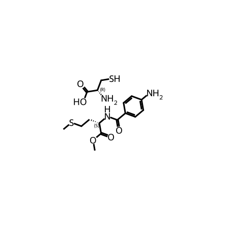 COC(=O)[C@H](CCSC)NC(=O)c1ccc(N)cc1.N[C@@H](CS)C(=O)O